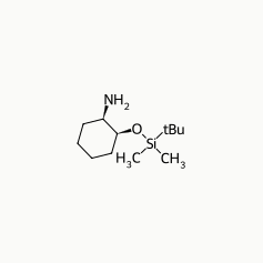 CC(C)(C)[Si](C)(C)O[C@H]1CCCC[C@H]1N